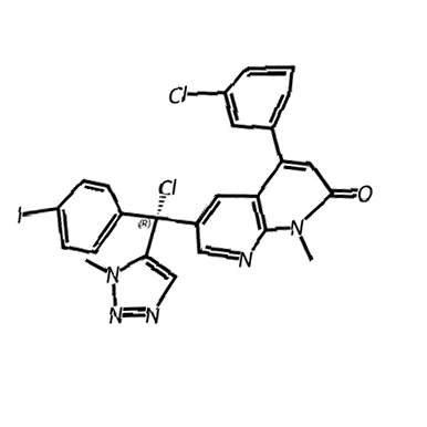 Cn1nncc1[C@@](Cl)(c1ccc(I)cc1)c1cnc2c(c1)c(-c1cccc(Cl)c1)cc(=O)n2C